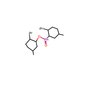 CC1CCC(C(C)C)C(O[PH](=O)C2CC(C)CCC2C(C)C)C1